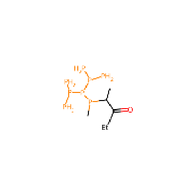 CCC(=O)C(C)P(C)P(P(P)P)P(P)P